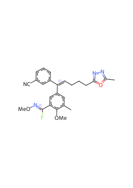 CO/N=C(\F)c1cc(/C(=C\CCCc2nnc(C)o2)c2cccc(C#N)c2)cc(C)c1OC